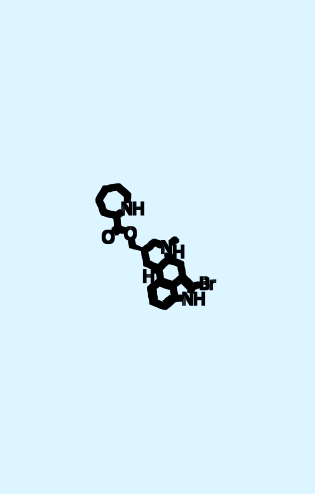 CN1C[C@H](COC(=O)C2CCCCCN2)C[C@@H]2c3cccc4[nH]c(Br)c(c34)C[C@H]21